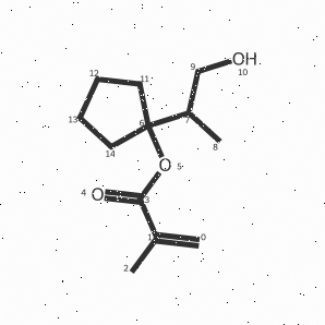 C=C(C)C(=O)OC1(C(C)CO)CCCC1